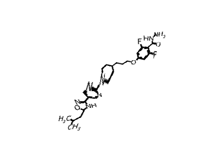 CC(C)CC1NC(c2cnc(N3CCC(CCCOc4cc(F)c(C(=O)NN)c(F)c4)CC3)nc2)=NO1